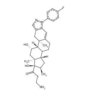 C[C@@H]1C[C@H]2C3CCC4=Cc5c(cnn5-c5ccc(F)cc5)C[C@]4(C)[C@H]3[C@@H](O)C[C@]2(C)[C@@]1(O)C(=O)SCN